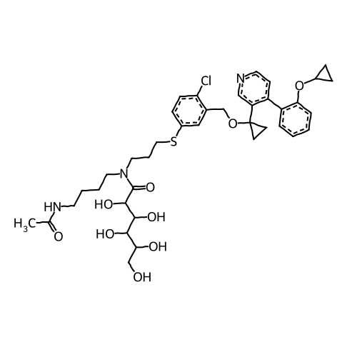 CC(=O)NCCCCN(CCCSc1ccc(Cl)c(COC2(c3cnccc3-c3ccccc3OC3CC3)CC2)c1)C(=O)C(O)C(O)C(O)C(O)CO